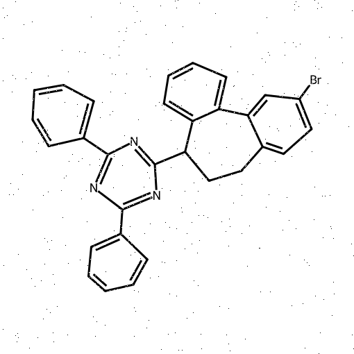 Brc1ccc2c(c1)-c1ccccc1C(c1nc(-c3ccccc3)nc(-c3ccccc3)n1)CC2